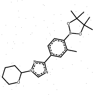 Cc1cc(-c2ncn(C3CCCCO3)n2)ccc1B1OC(C)(C)C(C)(C)O1